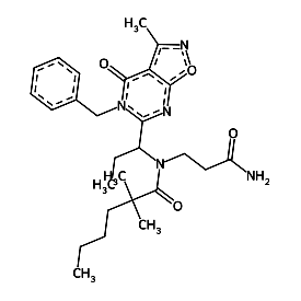 CCCCC(C)(C)C(=O)N(CCC(N)=O)C(CC)c1nc2onc(C)c2c(=O)n1Cc1ccccc1